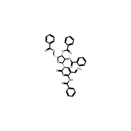 C=Cc1cn([C@@H]2O[C@H](COC(=O)c3ccccc3)[C@H](OC(=O)c3ccccc3)C2OC(=O)c2ccccc2)c(=O)nc1NC(=O)c1ccccc1